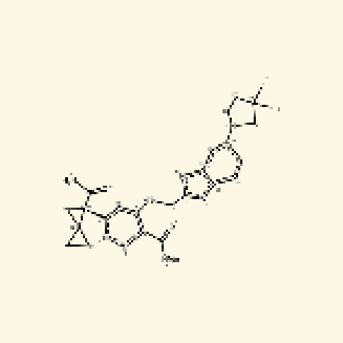 CNC(=O)c1nnc([C@]2(C(N)=O)CC23CC3)cc1NCc1nc2ccc(N3CCC(F)(F)C3)cn2n1